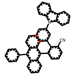 N#Cc1cccc(-c2c3ccccc3c(-c3ccccc3)c3ccccc23)c1-c1cccc(-n2c3ccccc3c3ccccc32)c1